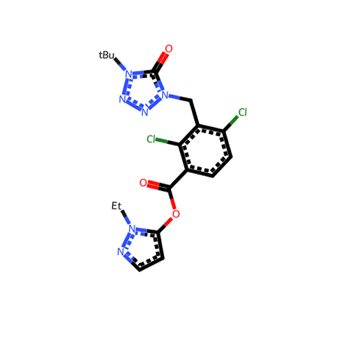 CCn1nccc1OC(=O)c1ccc(Cl)c(Cn2nnn(C(C)(C)C)c2=O)c1Cl